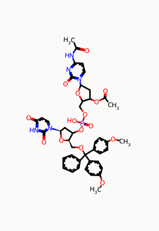 COc1ccc(C(OC[C@H]2O[C@@H](n3ccc(=O)[nH]c3=O)CC2OP(=O)(O)OCC2OC(n3ccc(NC(C)=O)nc3=O)CC2OC(C)=O)(c2ccccc2)c2ccc(OC)cc2)cc1